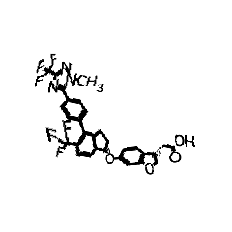 Cn1nc(C(F)(F)F)nc1-c1ccc(-c2c(C(F)(F)F)ccc3c2CC[C@H]3Oc2ccc3c(c2)OC[C@H]3CC(=O)O)cc1